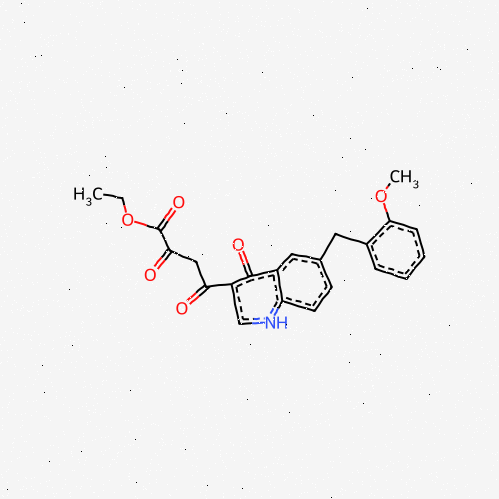 CCOC(=O)C(=O)CC(=O)c1c[nH]c2ccc(Cc3ccccc3OC)cc2c1=O